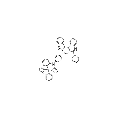 c1ccc(-c2nc3ccccc3c3c2cc(-c2ccc(N4c5ccccc5C5(c6ccccc6-c6ccccc65)c5ccccc54)cc2)c2sc4ccccc4c23)cc1